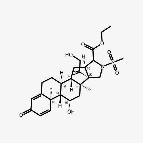 CCOC(=O)C1[C@@H]2C[C@H]3[C@@H]4CCC5=CC(=O)C=C[C@]5(C)[C@H]4[C@@H](O)C[C@]3(C)[C@]2(C(=O)CO)CN1S(C)(=O)=O